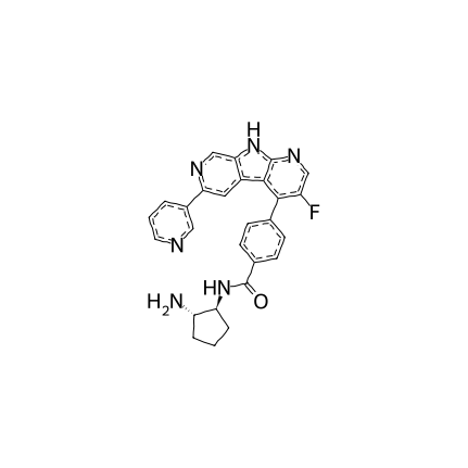 N[C@H]1CCC[C@@H]1NC(=O)c1ccc(-c2c(F)cnc3[nH]c4cnc(-c5cccnc5)cc4c23)cc1